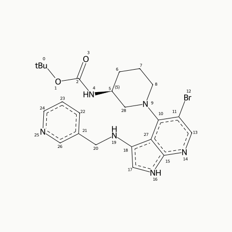 CC(C)(C)OC(=O)N[C@H]1CCCN(c2c(Br)cnc3[nH]cc(NCc4cccnc4)c23)C1